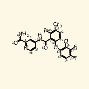 NC(=O)c1cc(NC(=O)c2c(Oc3ccc(F)c(F)c3Cl)ccc(C(F)(F)F)c2F)ccn1